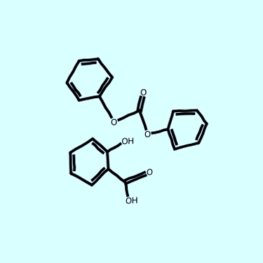 O=C(O)c1ccccc1O.O=C(Oc1ccccc1)Oc1ccccc1